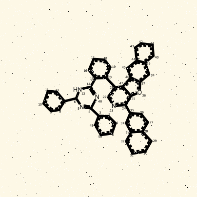 c1ccc(C2=NC(c3ccccc3)NC(c3ccccc3-c3cnc(-c4ccc5ccccc5c4)c4oc5cc6ccccc6cc5c34)=N2)cc1